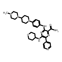 CN1CCN(C2CCN(c3ccc(Nc4nc(NC5CCOCC5)c(-c5ccncc5)nc4C(N)=O)cc3)CC2)CC1